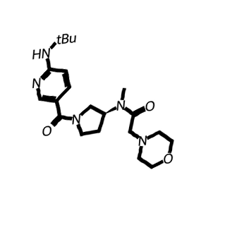 CN(C(=O)CN1CCOCC1)[C@H]1CCN(C(=O)c2ccc(NC(C)(C)C)nc2)C1